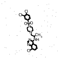 CC(CN1CCN(S(=O)(=O)c2ccc(Cl)c(Cl)c2)CC1)Nc1ncnc2c(Cl)cccc12